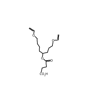 C=COCCCCC(CCCOC=C)OC(=O)CCC(=O)O